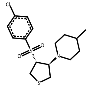 CC1CCN([C@H]2CSC[C@@H]2S(=O)(=O)c2ccc(Cl)cc2)CC1